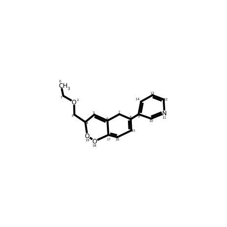 CCOCC1C=C2CC(c3[c]nccc3)=CC=C2OO1